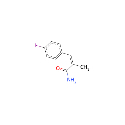 CC(=Cc1ccc(I)cc1)C(N)=O